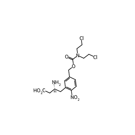 N[C@@H](CC(=O)O)Cc1cc(COC(=O)N(CCCl)CCCl)ccc1[N+](=O)[O-]